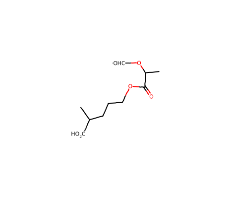 CC(CCCOC(=O)C(C)O[C]=O)C(=O)O